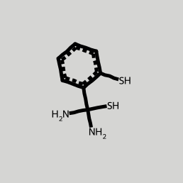 NC(N)(S)c1ccccc1S